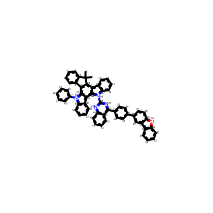 CC1(C)c2ccccc2-c2c1c1c3ccccc3n(-c3nc(-c4ccc(-c5ccc6oc7ccccc7c6c5)cc4)c4ccccc4n3)c1c1c3ccccc3n(-c3ccccc3)c21